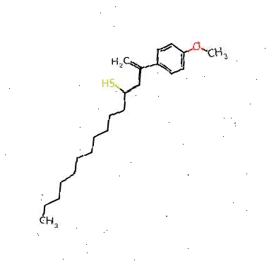 C=C(CC(S)CCCCCCCCCCC)c1ccc(OC)cc1